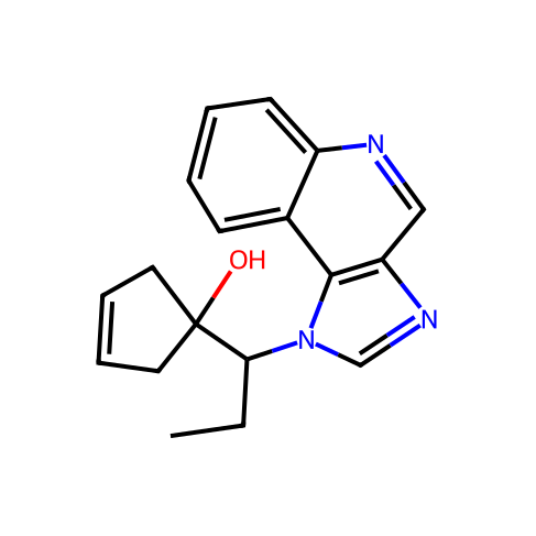 CCC(n1cnc2cnc3ccccc3c21)C1(O)CC=CC1